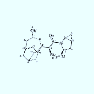 N#C[C@@H]1CC2CC2N1C(=O)[C@@H](N)C12CC(O)CC3CC(CC1C3)C2